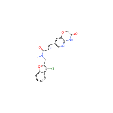 CN(Cc1oc2ccccc2c1Cl)C(=O)/C=C/c1cnc2c(c1)OCC(=O)N2